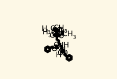 CC(=O)OC1C(CCCNC(=NC(=O)OCc2ccccc2)NC(=O)OCc2ccccc2)C(=O)N1C(=O)C(C)(C)C